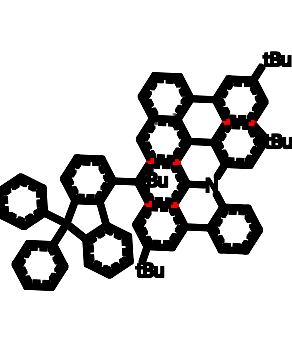 CC(C)(C)c1cc(-c2ccccc2N(c2ccc(-c3cccc4c3-c3ccccc3C4(c3ccccc3)c3ccccc3)cc2)c2ccccc2-c2cccc3cccc(-c4cc(C(C)(C)C)cc(C(C)(C)C)c4)c23)cc(C(C)(C)C)c1